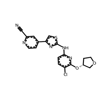 N#Cc1cc(-c2csc(Nc3ccc(Cl)c(O[C@@H]4CCOC4)n3)n2)ccn1